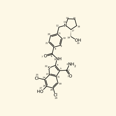 NC(=O)c1c(NC(=O)c2ccc(CN3CCC[C@@H]3CO)cc2)sc2c(Cl)c(O)c(Cl)cc12